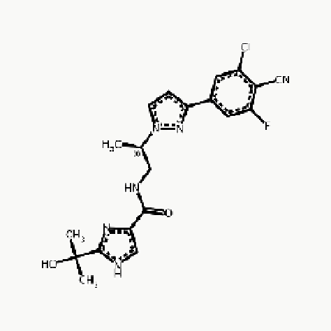 C[C@H](CNC(=O)c1c[nH]c(C(C)(C)O)n1)n1ccc(-c2cc(F)c(C#N)c(Cl)c2)n1